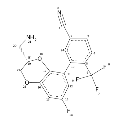 N#Cc1ccc(C(F)(F)F)c(-c2cc(F)cc3c2O[C@@H](CN)CO3)c1